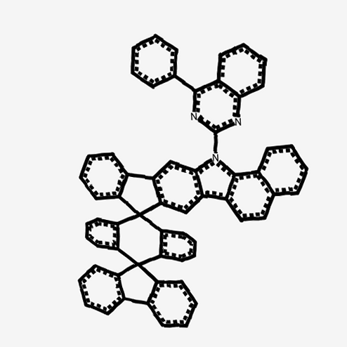 c1ccc(-c2nc(-n3c4cc5c(cc4c4ccc6ccccc6c43)C3(c4ccccc4-5)c4ccccc4C4(c5ccccc5-c5ccccc54)c4ccccc43)nc3ccccc23)cc1